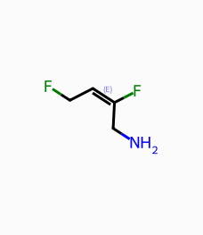 NC/C(F)=C\CF